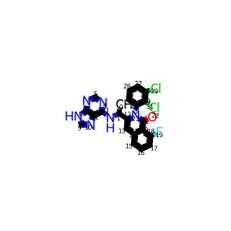 CC(Nc1ncnc2[nH]cnc12)c1cc2cccc(F)c2c(=O)n1-c1cccc(Cl)c1Cl